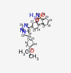 CC(C)Oc1ccc(-c2cc3c(-c4ccc(-c5ccccc5S(N)(=O)=O)cc4)ncnn3c2)cc1